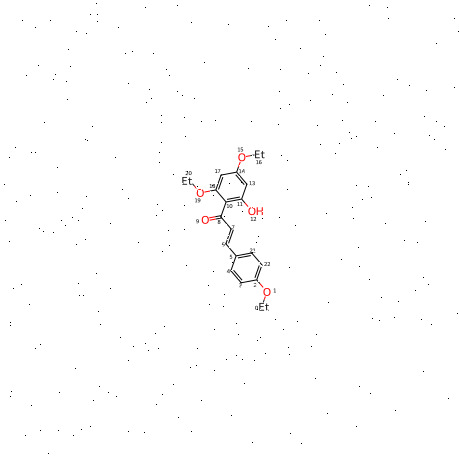 CCOc1ccc(C=CC(=O)c2c(O)cc(OCC)cc2OCC)cc1